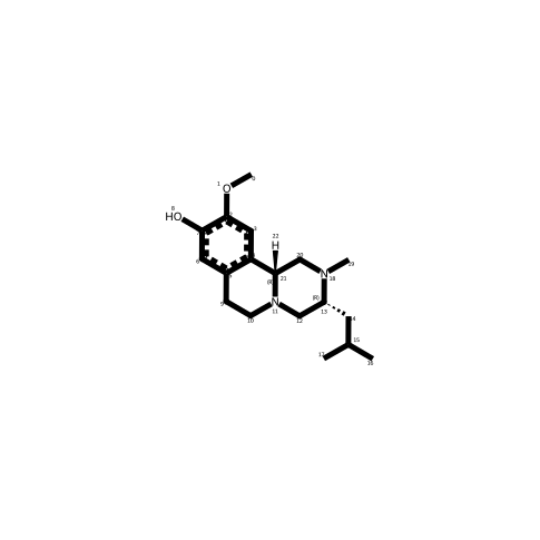 COc1cc2c(cc1O)CCN1C[C@@H](CC(C)C)N(C)C[C@@H]21